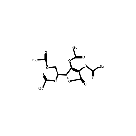 CC(C)(C)C(=O)OC[C@H](OC(=O)C(C)(C)C)[C@H]1OC(=O)C(OC(=O)C(C)(C)C)=C1OC(=O)C(C)(C)C